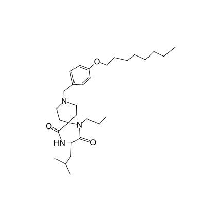 CCCCCCCCOc1ccc(CN2CCC3(CC2)C(=O)NC(CC(C)C)C(=O)N3CCC)cc1